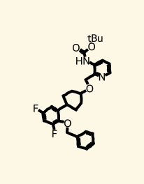 CC(C)(C)OC(=O)Nc1cccnc1COC1CCC(c2cc(F)cc(F)c2OCc2ccccc2)CC1